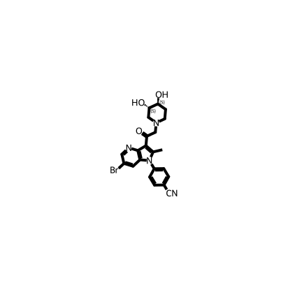 Cc1c(C(=O)CN2CC[C@H](O)[C@@H](O)C2)c2ncc(Br)cc2n1-c1ccc(C#N)cc1